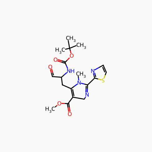 COC(=O)C1=C(CC(C=O)NC(=O)OC(C)(C)C)N(C)C(c2nccs2)=NC1